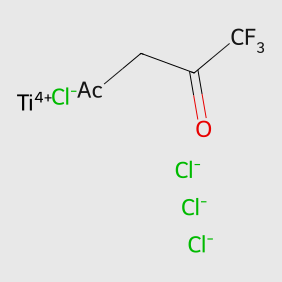 CC(=O)CC(=O)C(F)(F)F.[Cl-].[Cl-].[Cl-].[Cl-].[Ti+4]